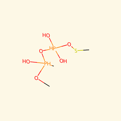 CO[PH](C)(O)O[PH](O)(O)OSC